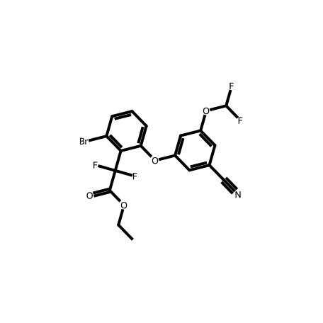 CCOC(=O)C(F)(F)c1c(Br)cccc1Oc1cc(C#N)cc(OC(F)F)c1